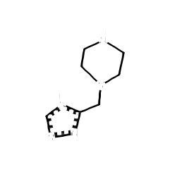 c1nnc(CN2CCNCC2)[nH]1